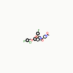 CC(=O)N1CCC(C(=O)N2CC[C@@]3([S+]([O-])c4ccc(F)cc4)c4ccc(OCc5ccc(F)cc5Cl)cc4CC[C@@H]23)CC1